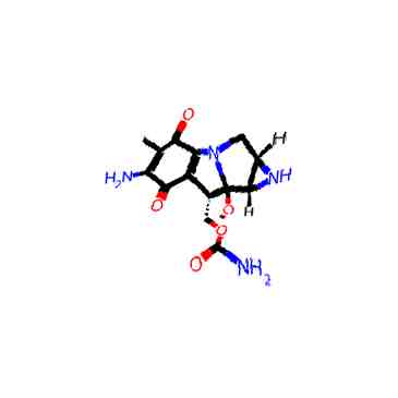 COC12[C@H](COC(N)=O)C3=C(C(=O)C(C)=C(N)C3=O)N1C[C@@H]1N[C@@H]12